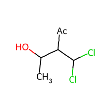 CC(=O)C(C(C)O)C(Cl)Cl